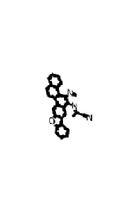 C=Nc1c(/N=C(\C)C#N)c2cc3c(cc2c2ccc4ccccc4c12)oc1ccccc13